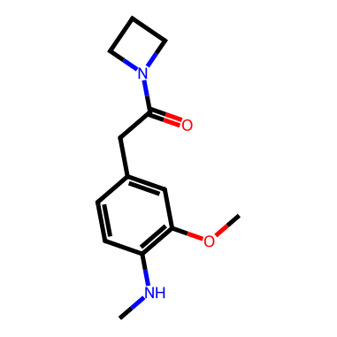 CNc1ccc(CC(=O)N2CCC2)cc1OC